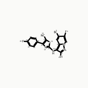 CCc1nn2cc(F)c(Br)cc2c1Nc1nc(-c2ccc(F)cc2)c(C#N)s1